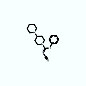 N#C/N=C(\Oc1ccccc1)N1CCC(N2CCCCC2)CC1